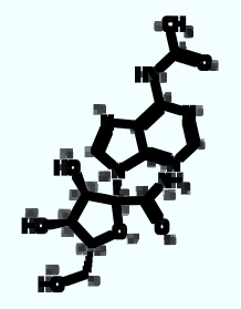 CC(=O)Nc1ncnc2c1ncn2[C@]1(C(N)=O)O[C@H](CO)[C@@H](O)[C@H]1O